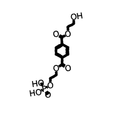 O=C(OCCO)c1ccc(C(=O)OCCOP(=O)(O)O)cc1